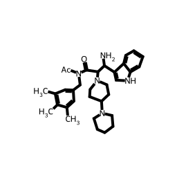 CC(=O)N(Cc1cc(C)c(C)c(C)c1)C(=O)C(C(N)c1c[nH]c2ccccc12)N1CCC(N2CCCCC2)CC1